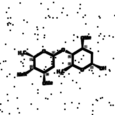 CN[C@@H]1[C@H](C)O[C@@H](O[C@H]2[C@H](C)O[C@@H](O)C[C@@H]2OC)C[C@@H]1OC